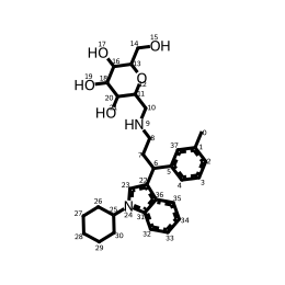 Cc1cccc(C(CCNCC2OC(CO)C(O)C(O)C2O)c2cn(C3CCCCC3)c3ccccc23)c1